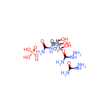 NNC(N)=O.NNC(N)=O.NNC(N)=O.O=P(O)(O)O.O=[N+]([O-])O.O=[N+]([O-])O.O=[N+]([O-])O